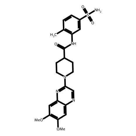 COc1cc2ncc(N3CCC(C(=O)Nc4cc(S(N)(=O)=O)ccc4C)CC3)nc2cc1OC